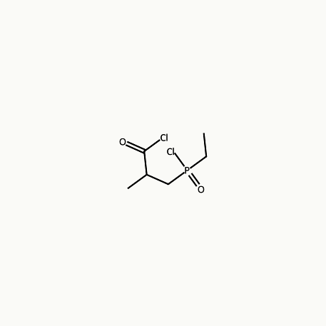 CCP(=O)(Cl)CC(C)C(=O)Cl